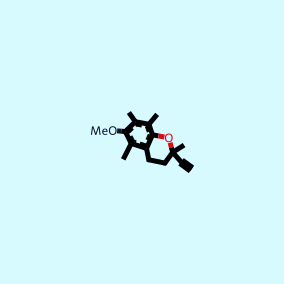 C#CC1(C)CCc2c(C)c(OC)c(C)c(C)c2O1